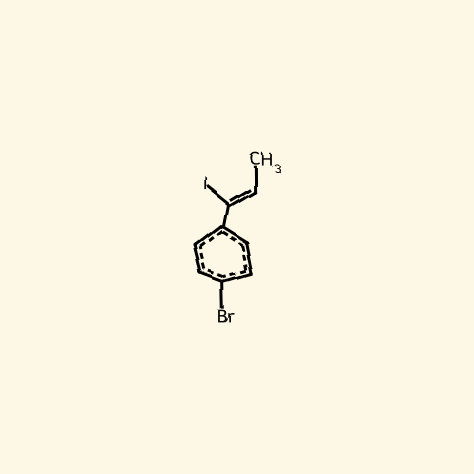 C/C=C(\I)c1ccc(Br)cc1